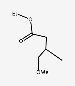 CCOC(=O)CC(C)COC